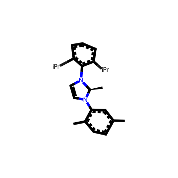 Cc1ccc(C)c(N2C=CN(c3c(C(C)C)cccc3C(C)C)[C@H]2C)c1